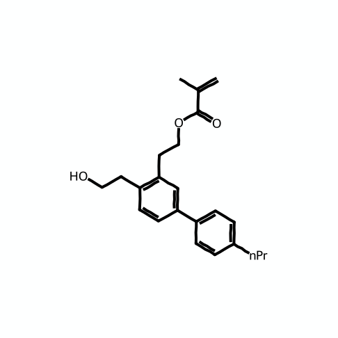 C=C(C)C(=O)OCCc1cc(-c2ccc(CCC)cc2)ccc1CCO